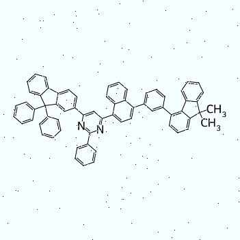 CC1(C)c2ccccc2-c2c(-c3cccc(-c4ccc(-c5cc(-c6ccc7c(c6)C(c6ccccc6)(c6ccccc6)c6ccccc6-7)nc(-c6ccccc6)n5)c5ccccc45)c3)cccc21